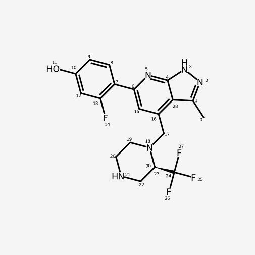 Cc1n[nH]c2nc(-c3ccc(O)cc3F)cc(CN3CCNC[C@@H]3C(F)(F)F)c12